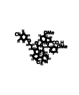 COc1ccnc(Cn2c(C(=O)O)cc3c(OC)ccc(N4CC(C)n5c(c(CCCOc6cc(C)c(Cl)c(C)c6)c6ccc(Cl)c(-c7c(C)ncnc7C)c65)C4=O)c32)c1